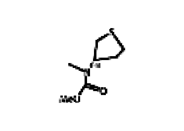 COC(=O)N(C)[C@H]1CCSC1